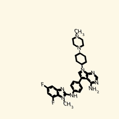 CN1CCN([C@H]2CC[C@H](n3cc(-c4ccc(Nc5nc6cc(F)cc(F)c6n5C)cc4)c4c(N)ncnc43)CC2)CC1